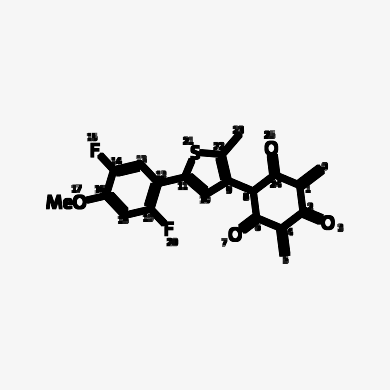 C=C1C(=O)C(=C)C(=O)C(c2cc(-c3cc(F)c(OC)cc3F)sc2C)C1=O